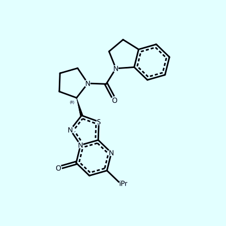 CC(C)c1cc(=O)n2nc([C@H]3CCCN3C(=O)N3CCc4ccccc43)sc2n1